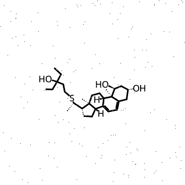 CCC(O)(CC)CCS[C@@H](C)[C@H]1CC[C@H]2C3=CC=C4C[C@@H](O)C[C@H](O)[C@]4(C)[C@H]3CC[C@]12C